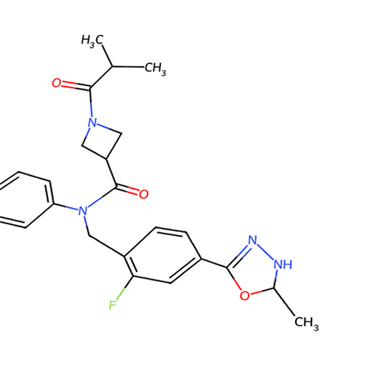 CC1NN=C(c2ccc(CN(C(=O)C3CN(C(=O)C(C)C)C3)c3cccc(F)c3)c(F)c2)O1